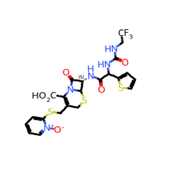 O=C(NCC(F)(F)F)NC(C(=O)N[C@H]1C(=O)N2C(C(=O)O)=C(CSc3cccc[n+]3[O-])CSC12)c1cccs1